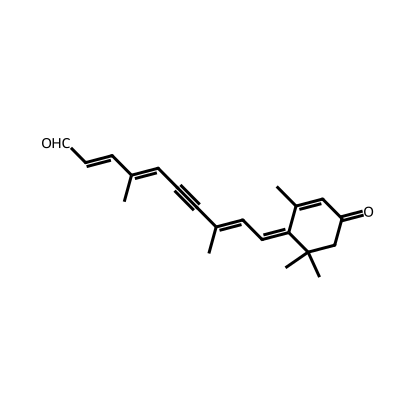 CC1=CC(=O)CC(C)(C)/C1=C/C=C(\C)C#C/C=C(C)/C=C/C=O